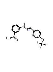 O=C(O)c1cccc(N/N=C/c2ccc(OC(F)(F)F)cc2)c1